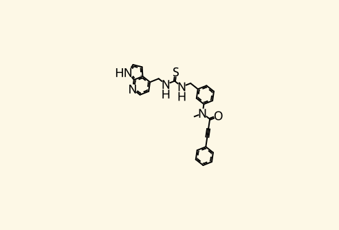 CN(C(=O)C#Cc1ccccc1)c1cccc(CNC(=S)NCc2ccnc3[nH]ccc23)c1